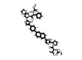 COC(=O)N[C@H](C(=O)N1CCCC1c1ncc(-c2ccc3cc(-c4ccc(-c5cnc([C@@H]6CC7(CN6C(=O)[C@H](NC(=O)OC)c6ccccc6)OCCO7)[nH]5)cc4)ccc3c2)[nH]1)C(C)C